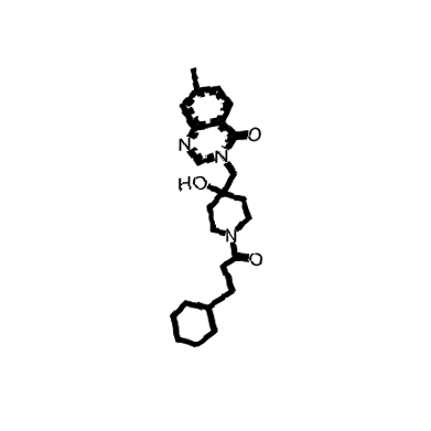 Cc1ccc2c(=O)n(CC3(O)CCN(C(=O)CCC4CCCCC4)CC3)cnc2c1